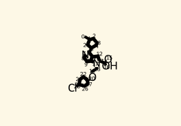 Cc1cccc(-c2nccc3c2cc(C(=O)O)n3CCOc2ccc(Cl)cc2)c1